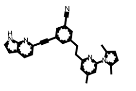 Cc1cc(CCc2cc(C#N)cc(C#Cc3ccc4cc[nH]c4n3)c2)nc(-n2c(C)ccc2C)c1